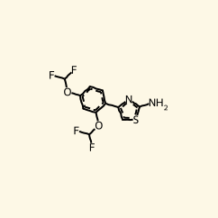 Nc1nc(-c2ccc(OC(F)F)cc2OC(F)F)cs1